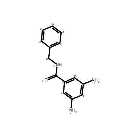 Nc1cc(N)cc(C(=O)NCc2ccccc2)c1